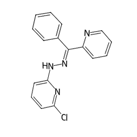 Clc1cccc(N/N=C(\c2ccccc2)c2ccccn2)n1